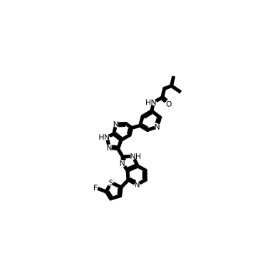 CC(C)CC(=O)Nc1cncc(-c2cnc3[nH]nc(-c4nc5c(-c6ccc(F)s6)nccc5[nH]4)c3c2)c1